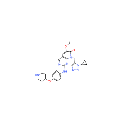 CCOc1cc2cnc(Nc3ccc(OC4CCNCC4)cc3)nc2n(Cc2cnnn2C2CC2)c1=O